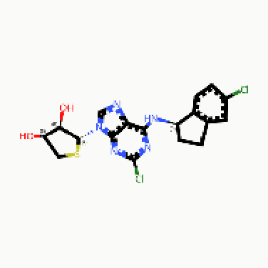 O[C@@H]1[C@H](O)CS[C@H]1n1cnc2c(N[C@@H]3CCc4cc(Cl)ccc43)nc(Cl)nc21